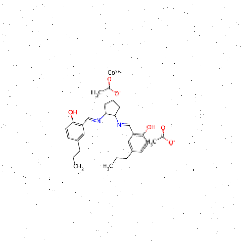 CC(=O)[O-].CC(=O)[O-].CCCc1ccc(O)c(C=NC2CCCC2N=Cc2cc(CCC)ccc2O)c1.[Co+2]